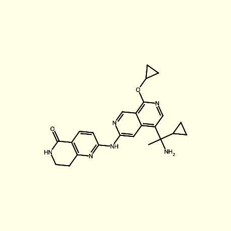 CC(N)(c1cnc(OC2CC2)c2cnc(Nc3ccc4c(n3)CCNC4=O)cc12)C1CC1